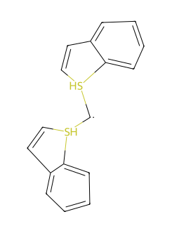 [CH]([SH]1C=Cc2ccccc21)[SH]1C=Cc2ccccc21